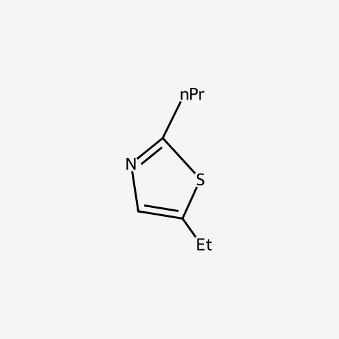 [CH2]CCc1ncc(CC)s1